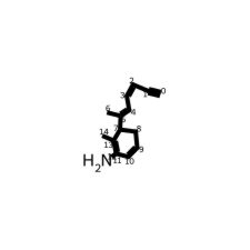 C#C/C=C\C=C(/C)C1CC=CC(N)=C1C